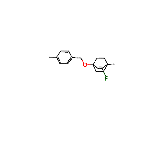 Cc1ccc(COC23C=C(F)C(C)(CC2)CC3)cc1